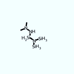 CN(C)N[SiH2]N([SiH3])[SiH3]